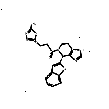 Cc1nnc(CCC(=O)N2CCc3[nH]cnc3[C@H]2c2cc3ccccc3o2)s1